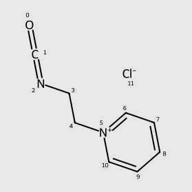 O=C=NCC[n+]1ccccc1.[Cl-]